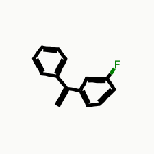 C=C(c1ccccc1)c1cccc(F)c1